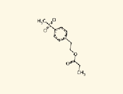 CCC(=O)OCCc1ccc(S(C)(=O)=O)cc1